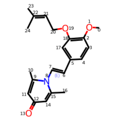 COc1ccc(/C=C/n2c(C)cc(=O)cc2C)cc1OCC=C(C)C